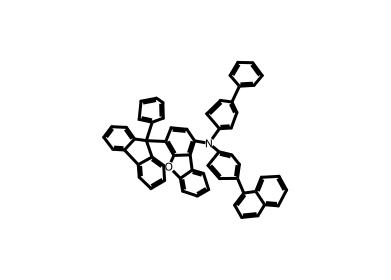 c1ccc(-c2ccc(N(c3ccc(-c4cccc5ccccc45)cc3)c3ccc(C4(c5ccccc5)c5ccccc5-c5ccccc54)c4oc5ccccc5c34)cc2)cc1